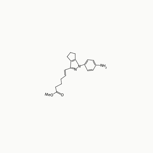 COC(=O)CCC/C=C/c1nn(-c2ccc(N)cc2)c2c1CCC2